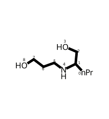 CCCC(CO)NCCCO